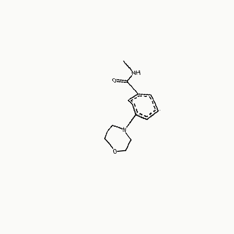 CNC(=O)c1c[c]cc(N2CCOCC2)c1